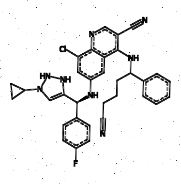 N#CCCCC(Nc1c(C#N)cnc2c(Cl)cc(N[C@H](C3=CN(C4CC4)NN3)c3ccc(F)cc3)cc12)c1ccccc1